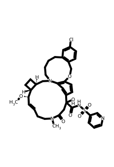 CO[C@H]1/C=C/CCN(C)C(=O)CC(O)(C(=O)NS(=O)(=O)c2cccnc2)c2ccc3c(c2)N(CCCCc2cc(Cl)ccc2CO3)C[C@@H]2CC[C@H]21